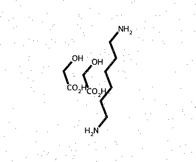 NCCCCCCN.O=C(O)CO.O=C(O)CO